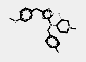 COc1ccc(Cc2noc(N(Cc3ccc(F)cc3)[C@H]3CCN(C)C[C@H]3F)n2)cc1